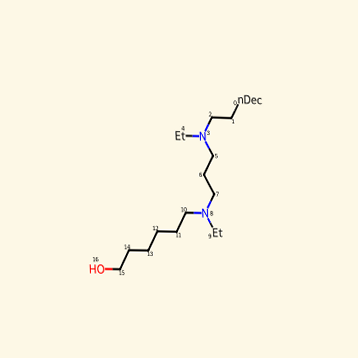 CCCCCCCCCCCCN(CC)CCCN(CC)CCCCCCO